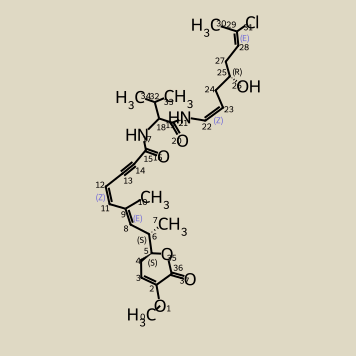 COC1=CC[C@@H]([C@@H](C)/C=C(C)/C=C\C#CC(=O)NC(C(=O)N/C=C\C[C@@H](O)C/C=C(\C)Cl)C(C)C)OC1=O